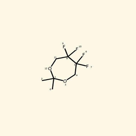 CC1(C)OCC(F)(F)C(F)(F)CO1